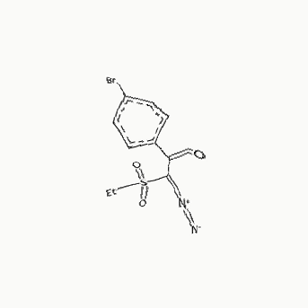 CCS(=O)(=O)C(=[N+]=[N-])C(=O)c1ccc(Br)cc1